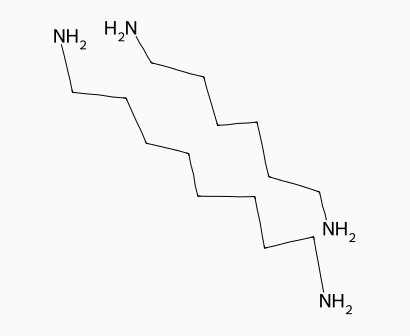 NCCCCCCCCN.NCCCCCCN